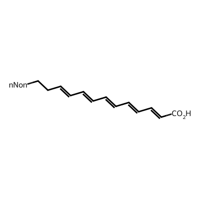 CCCCCCCCCCCC=CC=CC=C/C=C/C=C/C(=O)O